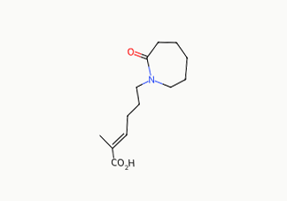 CC(=CCCCN1CCCCCC1=O)C(=O)O